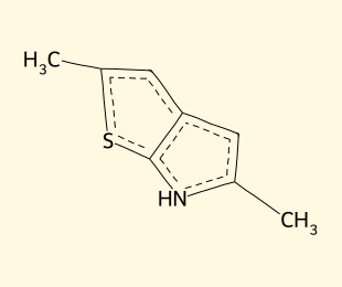 Cc1cc2cc(C)sc2[nH]1